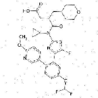 COc1ccc(-c2ccc(OC(F)F)cc2-c2nc(N(C(=O)C(CC(=O)O)CC3CCOCC3)C3CC3)sc2F)cn1